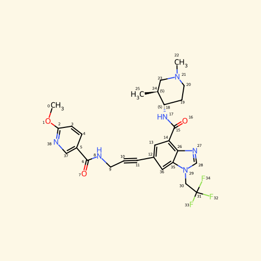 COc1ccc(C(=O)NCC#Cc2cc(C(=O)N[C@H]3CCN(C)C[C@@H]3C)c3ncn(CC(F)(F)F)c3c2)cn1